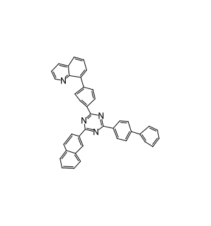 c1ccc(-c2ccc(-c3nc(-c4ccc(-c5cccc6cccnc56)cc4)nc(-c4ccc5ccccc5c4)n3)cc2)cc1